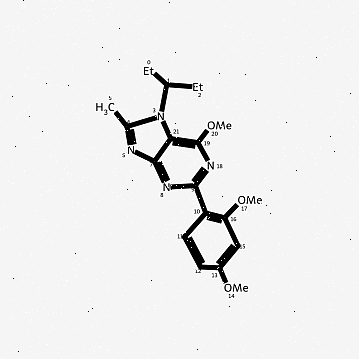 CCC(CC)n1c(C)nc2nc(-c3ccc(OC)cc3OC)nc(OC)c21